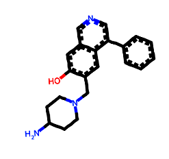 NC1CCN(Cc2cc3c(-c4ccccc4)cncc3cc2O)CC1